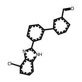 O=Cc1cccc(-c2cccc(-c3nc4c(Cl)cccc4[nH]3)c2)c1